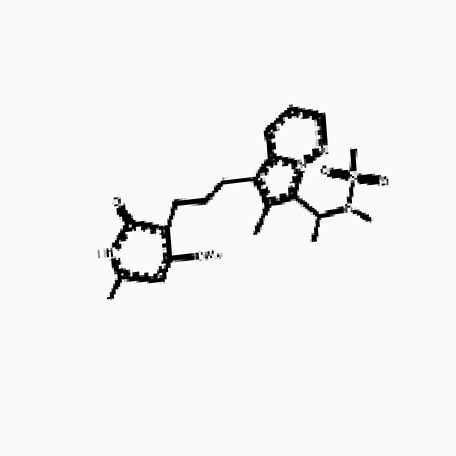 COc1cc(C)[nH]c(=O)c1CCCc1c(C)c(C(C)N(C)S(C)(=O)=O)n2ncccc12